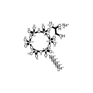 CC(O)CO.O=P1([O-])OP(=O)([O-])OP(=O)([O-])OP(=O)([O-])OP(=O)([O-])OP(=O)([O-])O1.[Na+].[Na+].[Na+].[Na+].[Na+].[Na+]